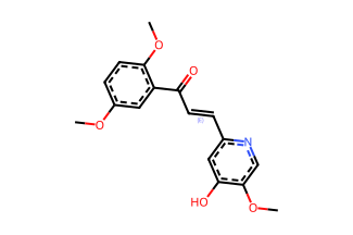 COc1ccc(OC)c(C(=O)/C=C/c2cc(O)c(OC)cn2)c1